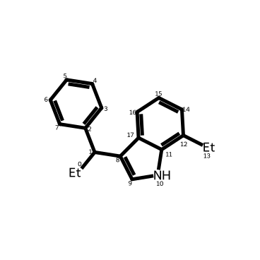 [CH2]CC(c1ccccc1)c1c[nH]c2c(CC)cccc12